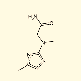 Cc1csc(N(C)CC(N)=O)n1